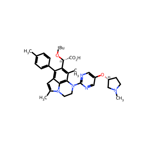 Cc1ccc(-c2c([C@H](OC(C)(C)C)C(=O)O)c(C)c3c4c2cc(C)n4CCN3c2ncc(O[C@@H]3CCN(C)C3)cn2)cc1